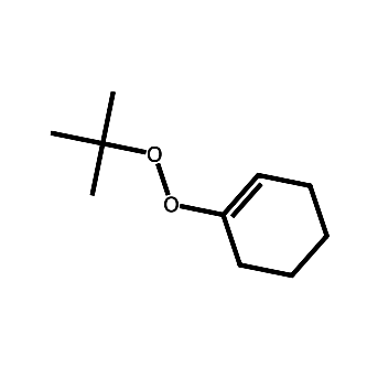 CC(C)(C)OOC1=CCCCC1